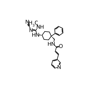 CN/C(=N\C#N)N[C@H]1CC[C@](CNC(=O)/C=C/c2cccnc2)(c2ccccc2)CC1